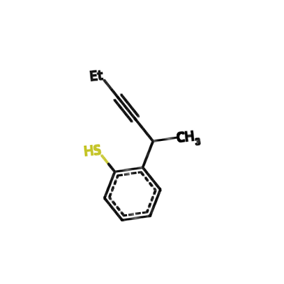 CCC#CC(C)c1ccccc1S